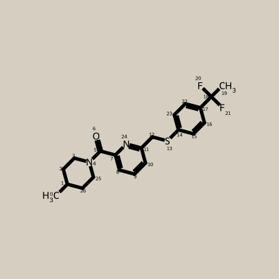 CC1CCN(C(=O)c2cccc(CSc3ccc(C(C)(F)F)cc3)n2)CC1